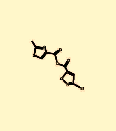 CCc1cc(C(=O)OC(=O)c2csc(C)n2)on1